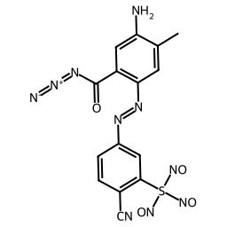 Cc1cc(N=Nc2ccc(C#N)c(S(N=O)(N=O)N=O)c2)c(C(=O)N=[N+]=[N-])cc1N